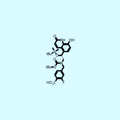 CC(C)(C)OC(=O)N(Cc1ccc(C(=O)O)c(F)c1)C[C@H](O[Si](C)(C)C(C)(C)C)c1ccc(O)c2[nH]c(=O)ccc12